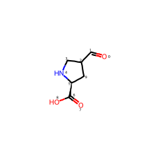 O=CC1CN[C@H](C(=O)O)C1